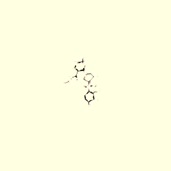 O=C(NCC(F)(F)F)c1cnc(Cl)nc1N1CC[C@H](S(=O)(=O)c2ccc(F)cc2Cl)C1